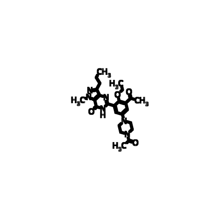 CCCc1nn(C)c2c(=O)[nH]c(-c3cc(N4CCN(C(C)=O)CC4)cc(C(C)=O)c3OCC)nc12